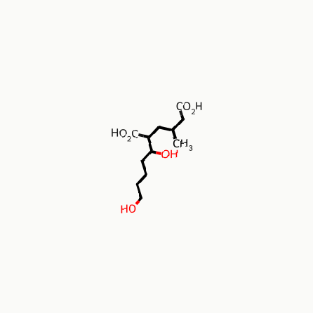 CC(CC(=O)O)CC(C(=O)O)C(O)CCCCO